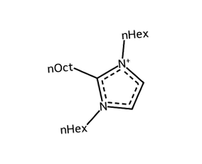 CCCCCCCCc1n(CCCCCC)cc[n+]1CCCCCC